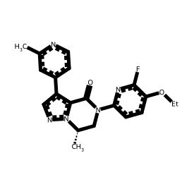 CCOc1ccc(N2C[C@H](C)n3ncc(-c4ccnc(C)c4)c3C2=O)nc1F